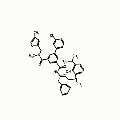 Cc1csc(CN(C)C(=O)c2cc(C(=O)N[C@@H](Cc3ccccc3)[C@H](O)CN(C)c3cncc(C(C)C)c3)cc(-c3cccc(Cl)c3)c2)n1